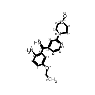 CCOc1ccc(N)c(C(=N)c2ccnc(N3CC[S+]([O-])CC3)c2)c1